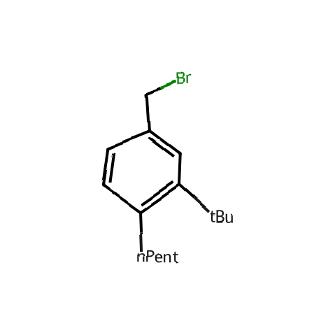 CCCCCc1ccc(CBr)cc1C(C)(C)C